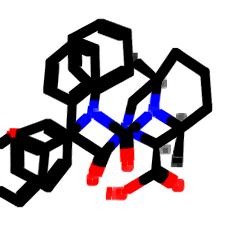 O=C(O)[C@@H]1[C@H]2CCC[C@@H](CN1C(=O)C(c1ccccc1)c1ccccc1)N2C(=O)N(c1ccccc1)c1ccccc1